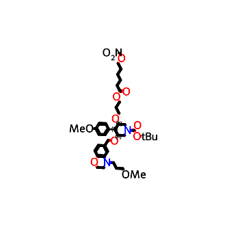 COCCCN1CCOc2ccc(CO[C@H]3CN(C(=O)OC(C)(C)C)C[C@@H](OCCCOC(=O)CCCCCO[N+](=O)[O-])[C@@H]3c3ccc(OC)cc3)cc21